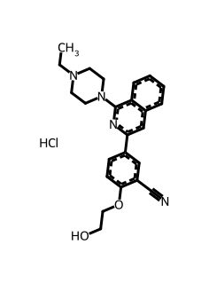 CCN1CCN(c2nc(-c3ccc(OCCO)c(C#N)c3)cc3ccccc23)CC1.Cl